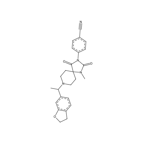 CC(c1ccc2c(c1)OCC2)N1CCC2(CC1)C(=O)N(c1ccc(C#N)cc1)C(=O)N2C